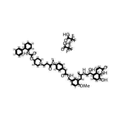 COc1ccc(CNC(=O)Cc2ccc(N(C)C(=O)CCN3CCC(OC(=O)Nc4ccccc4-c4ccccc4)CC3)cc2)cc1CC(C)NC[C@H](O)c1ccc(O)c2[nH]c(=O)ccc12.O=C(O)C(F)(F)F.O=C(O)C(F)(F)F